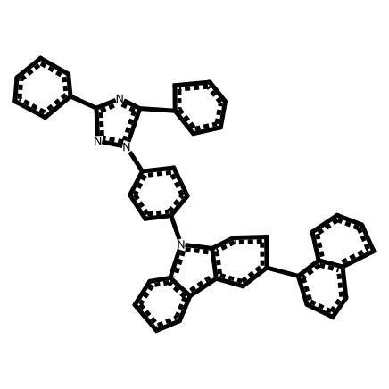 c1ccc(-c2nc(-c3ccccc3)n(-c3ccc(-n4c5ccccc5c5cc(-c6cccc7ccccc67)ccc54)cc3)n2)cc1